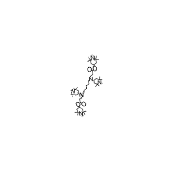 CN1C(C)(C)CC(OC(=O)CCN(CCCCCCN(CCC(=O)OC2CC(C)(C)N(C)C(C)(C)C2)C2CC(C)(C)N(C)C(C)(C)C2)C2CC(C)(C)N(C)C(C)(C)C2)CC1(C)C